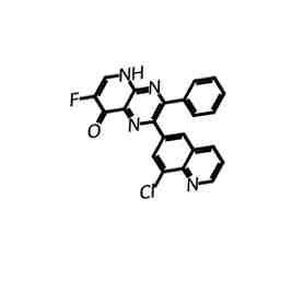 O=c1c(F)c[nH]c2nc(-c3ccccc3)c(-c3cc(Cl)c4ncccc4c3)nc12